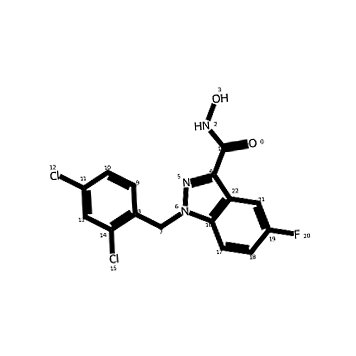 O=C(NO)c1nn(Cc2ccc(Cl)cc2Cl)c2ccc(F)cc12